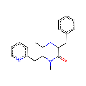 CCNC(Cc1ccccc1)C(=O)N(C)CCc1ccccn1